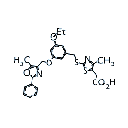 CCOc1cc(CSc2nc(C)c(CC(=O)O)s2)cc(OCc2nc(-c3ccccc3)oc2C)c1